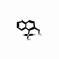 CCc1ccc2ccccc2c1S([NH])(=O)=O